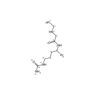 CCCSNCC(=O)NC(CCCNC(N)=O)C(C)=O